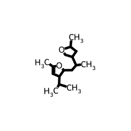 CC1=CC(C(C)C)C(CC(C)C2COC(C)C2)O1